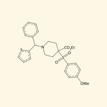 CCOC(=O)C1(S(=O)(=O)c2ccc(OC)cc2)CCN(C(c2ccccc2)c2cccs2)CC1